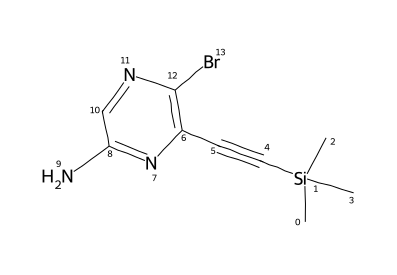 C[Si](C)(C)C#Cc1nc(N)cnc1Br